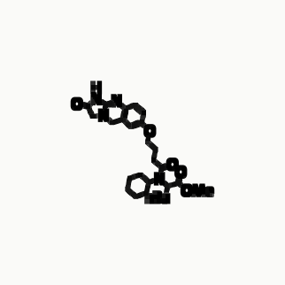 CCCCC(C(=O)OC)N(C(=O)CCCOc1ccc2c(c1)CN1CC(=O)NC1=N2)C1CCCCC1